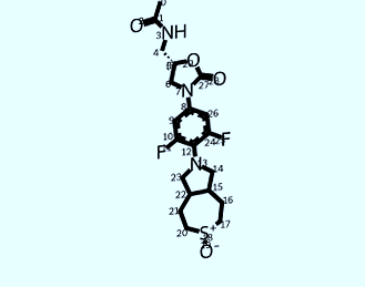 CC(=O)NC[C@H]1CN(c2cc(F)c(N3CC4CC[S+]([O-])CCC4C3)c(F)c2)C(=O)O1